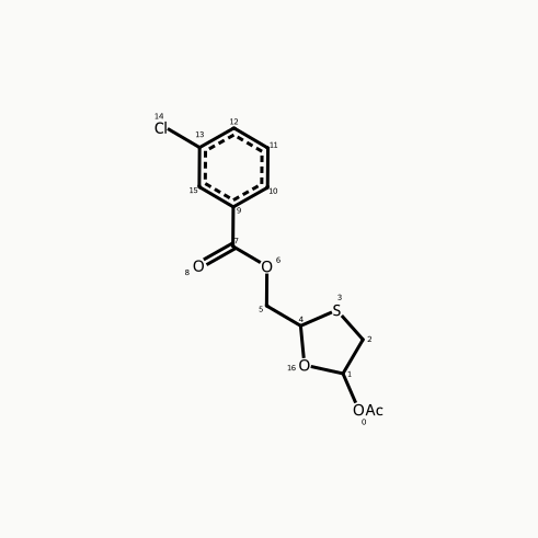 CC(=O)OC1CSC(COC(=O)c2cccc(Cl)c2)O1